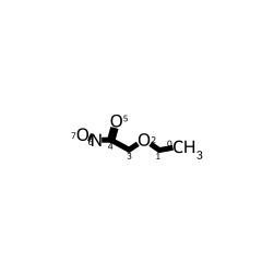 CCOCC(=O)N=O